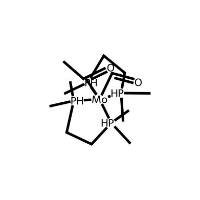 C[PH]1(C)CC[PH](C)(C)[Mo]12([CH]=O)([CH]=O)[PH](C)(C)CC[PH]2(C)C